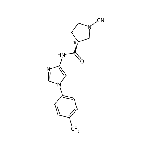 N#CN1CC[C@H](C(=O)Nc2cn(-c3ccc(C(F)(F)F)cc3)cn2)C1